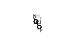 Cl.NCc1ccc(-c2ccc(F)cc2)cc1